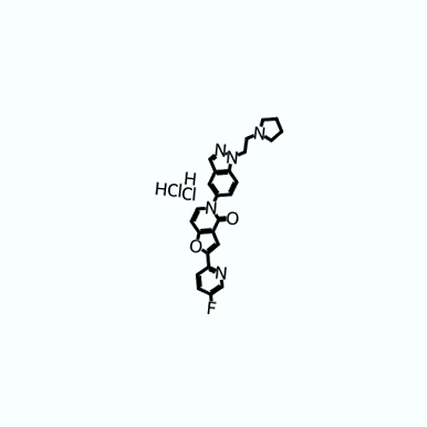 Cl.Cl.O=c1c2cc(-c3ccc(F)cn3)oc2ccn1-c1ccc2c(cnn2CCN2CCCC2)c1